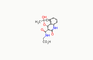 CC(C)(O)Oc1c(C(=O)NCC(=O)O)c(=O)[nH]c2ccccc12